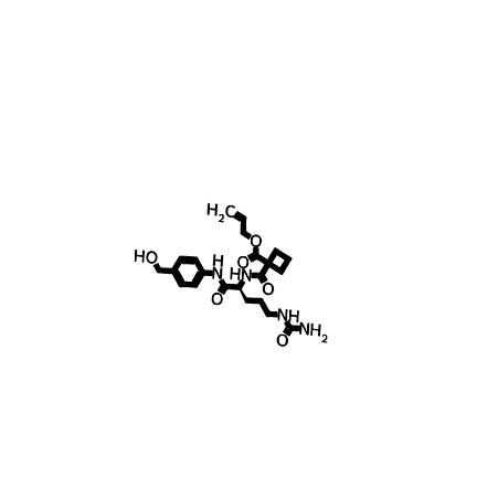 C=CCOC(=O)C1(C(=O)N[C@@H](CCCNC(N)=O)C(=O)Nc2ccc(CO)cc2)CCC1